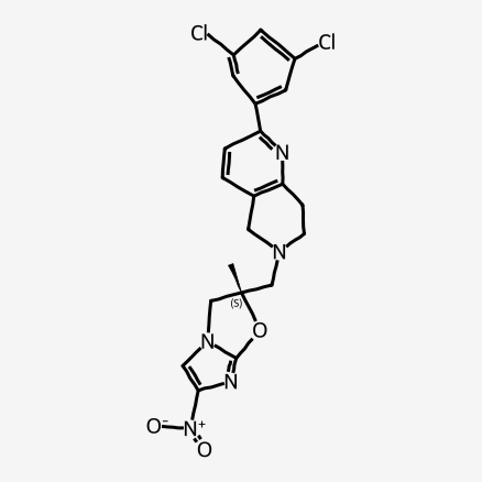 C[C@]1(CN2CCc3nc(-c4cc(Cl)cc(Cl)c4)ccc3C2)Cn2cc([N+](=O)[O-])nc2O1